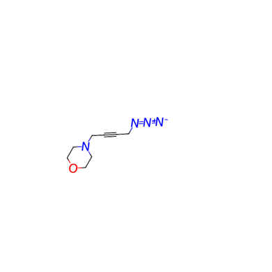 [N-]=[N+]=NCC#CCN1CCOCC1